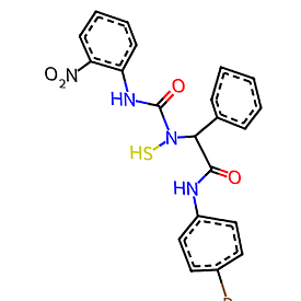 O=C(Nc1ccc(Br)cc1)C(c1ccccc1)N(S)C(=O)Nc1ccccc1[N+](=O)[O-]